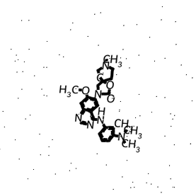 COc1cc2ncnc(Nc3cccc(N(C)C)c3C)c2cc1N1CC2(CCN(C)CC2)OC1=O